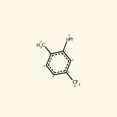 C[CH]Cc1cc(C(F)(F)F)ccc1C